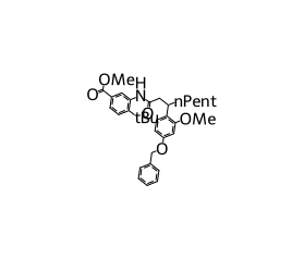 CCCCCC(CC(=O)Nc1cc(C(=O)OC)ccc1C(C)(C)C)c1ccc(OCc2ccccc2)cc1OC